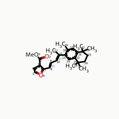 COC(=O)c1ccoc1/C=C/C=C(\C)c1cc2c(cc1C)C(C)(C)CCC2(C)C